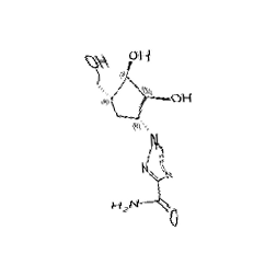 NC(=O)c1ncn([C@@H]2C[C@H](CO)[C@@H](O)[C@H]2O)n1